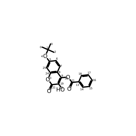 CC(C)(C)Oc1ccc2c(OC(=O)c3ccccc3)c(O)c(=O)oc2c1